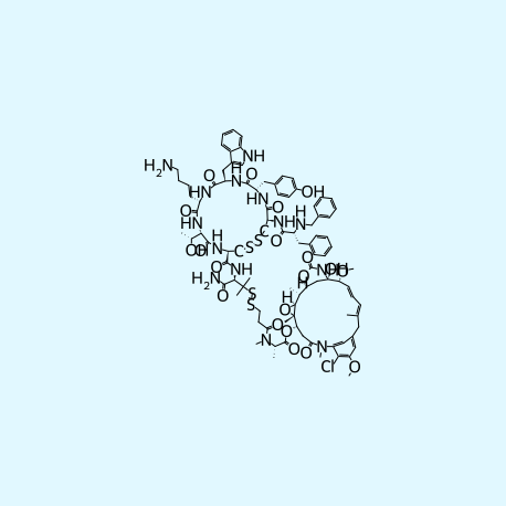 COc1cc2cc(c1Cl)N(C)C(=O)C[C@H](OC(=O)[C@H](C)N(C)C(=O)CCSSC(C)(C)[C@H](NC(=O)[C@@H]1CSSC[C@H](NC(=O)[C@@H](Cc3ccccc3)NCc3ccccc3)C(=O)N[C@@H](Cc3ccc(O)cc3)C(=O)N[C@H](Cc3c[nH]c4ccccc34)C(=O)N[C@@H](CCCCN)C(=O)N[C@@H]([C@@H](C)O)C(=O)N1)C(N)=O)[C@]1(C)O[C@H]1[C@H](C)[C@@H]1C[C@@](O)(NC(=O)O1)[C@H](OC)/C=C/C=C(\C)C2